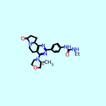 CCNC(=O)Nc1ccc(-c2nc3c(c(N4CCOC[C@@H]4C)n2)CCN2C(=O)CCC32)cc1